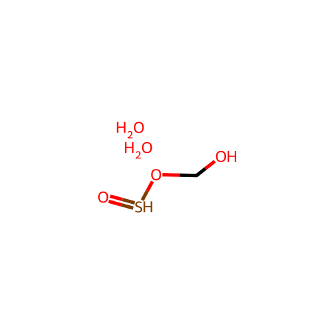 O.O.O=[SH]OCO